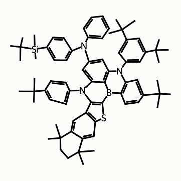 CC(C)(C)c1ccc(N2c3cc(N(c4ccccc4)c4ccc([Si](C)(C)C(C)(C)C)cc4)cc4c3B(c3ccc(C(C)(C)C)cc3N4c3cc(C(C)(C)C)cc(C(C)(C)C)c3)c3sc4cc5c(cc4c32)C(C)(C)CCC5(C)C)cc1